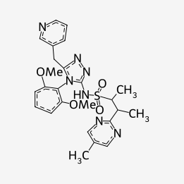 COc1cccc(OC)c1-n1c(Cc2cccnc2)nnc1NS(=O)(=O)C(C)C(C)c1ncc(C)cn1